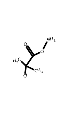 CC(C)(Cl)C(=O)O[SiH3]